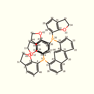 c1cc2c(c(P(c3cccc4c3OCC4)c3cccc4cc5cccc(P(c6cccc7c6OCC7)c6cccc7c6OCC7)c5cc34)c1)OCC2